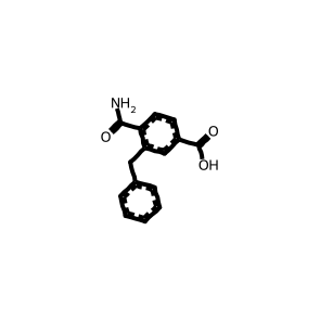 NC(=O)c1ccc(C(=O)O)cc1Cc1ccccc1